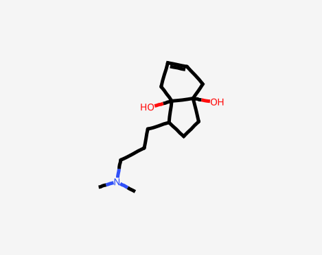 CN(C)CCCC1CCC2(O)CC=CCC12O